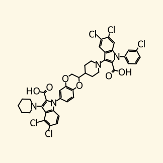 O=C(O)c1c(N2CCC(C3COc4cc(-n5c(C(=O)O)c(N6CCCCC6)c6c(Cl)c(Cl)ccc65)ccc4O3)CC2)c2cc(Cl)c(Cl)cc2n1-c1cccc(Cl)c1